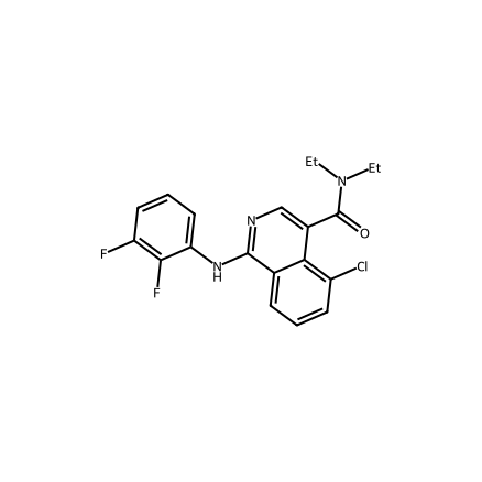 CCN(CC)C(=O)c1cnc(Nc2cccc(F)c2F)c2cccc(Cl)c12